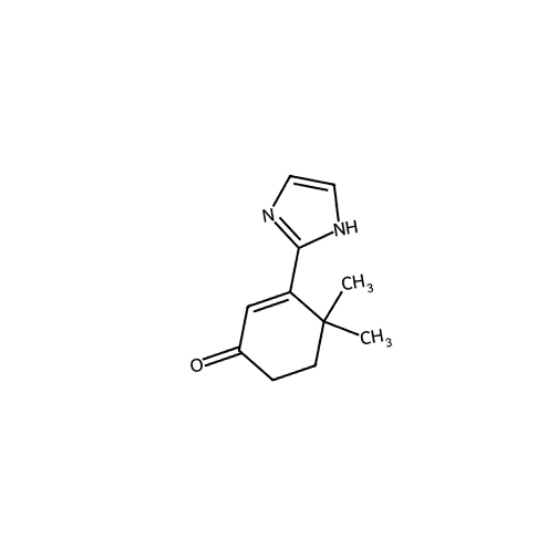 CC1(C)CCC(=O)C=C1c1ncc[nH]1